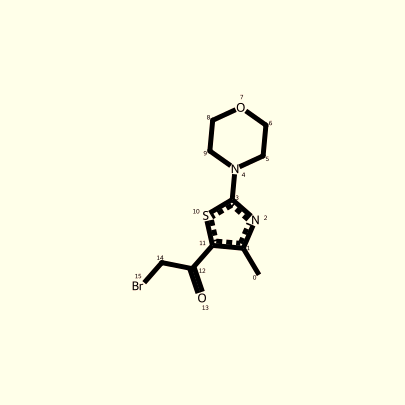 Cc1nc(N2CCOCC2)sc1C(=O)CBr